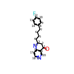 O=C1CC(CCCCc2ccc(F)cc2)=Nc2ccncc21